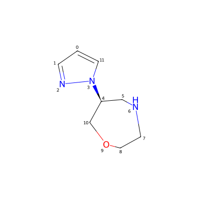 c1cnn([C@H]2CNCCOC2)c1